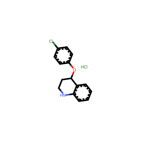 Cl.Clc1ccc(OC2CCNc3ccccc32)cc1